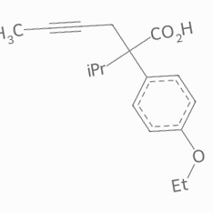 CC#CCC(C(=O)O)(c1ccc(OCC)cc1)C(C)C